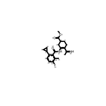 COC(=O)C1CCC(C(C)=N)=C(NC(=O)c2c(C3CC3)ccc(F)c2C)C1